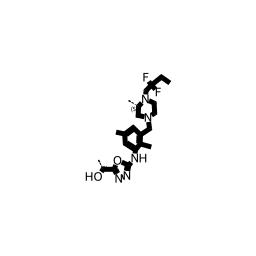 CCC(F)(F)CN1CCN(Cc2cc(C)cc(Nc3nnc([C@@H](C)O)o3)c2C)C[C@@H]1C